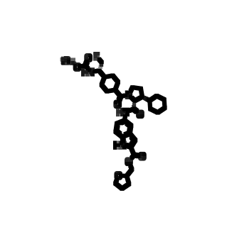 CC(C)(C)OC(=O)N[C@H](CF)C1CCC(C(=O)N2CC[C@@H](C3CCCCC3)[C@@H]2C(=O)Nc2ccc3[nH]c(C(=O)OCC4CCCO4)cc3c2)CC1